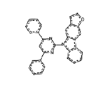 c1ccc(-c2cc(-c3ccccc3)nc(-n3c4ccccc4c4cc5occc5cc43)n2)cc1